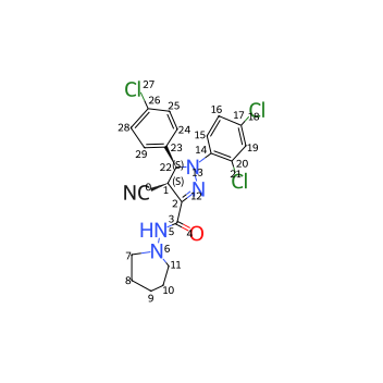 N#C[C@@H]1C(C(=O)NN2CCCCC2)=NN(c2ccc(Cl)cc2Cl)[C@@H]1c1ccc(Cl)cc1